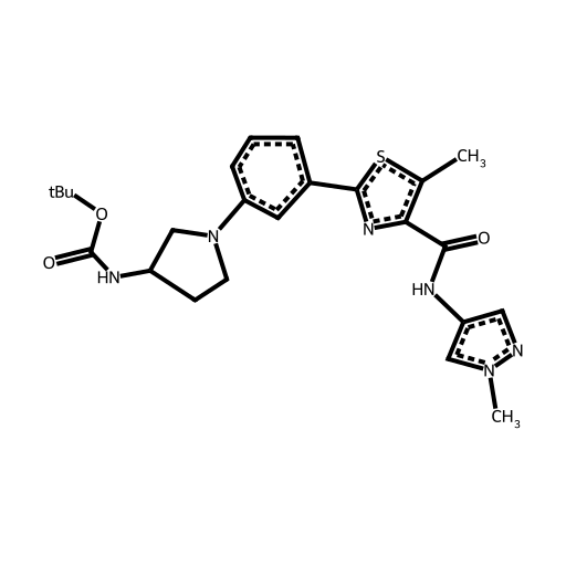 Cc1sc(-c2cccc(N3CCC(NC(=O)OC(C)(C)C)C3)c2)nc1C(=O)Nc1cnn(C)c1